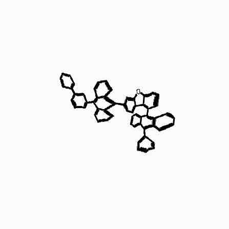 c1ccc(-c2cccc(-c3c4ccccc4c(-c4ccc5c(c4)oc4cccc(-c6c7ccccc7c(-c7ccccc7)c7ccccc67)c45)c4ccccc34)c2)cc1